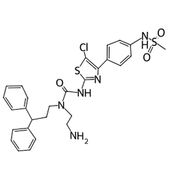 CS(=O)(=O)Nc1ccc(-c2nc(NC(=O)N(CCN)CCC(c3ccccc3)c3ccccc3)sc2Cl)cc1